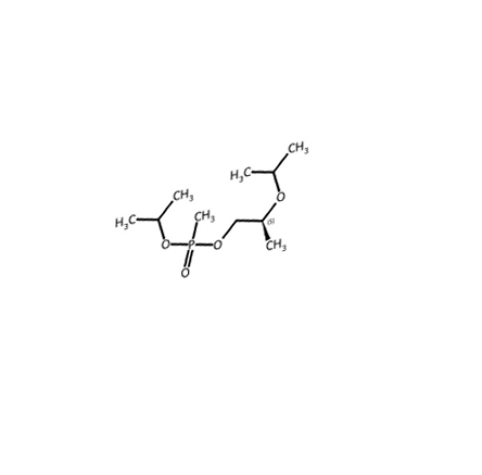 CC(C)O[C@@H](C)COP(C)(=O)OC(C)C